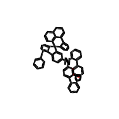 c1ccc(-c2ccccc2N(c2ccc3c(c2)C2(c4ccccc4-c4cccc5cccc2c45)c2cccc(-c4ccccc4)c2-3)c2ccc3c(c2)oc2ccccc23)cc1